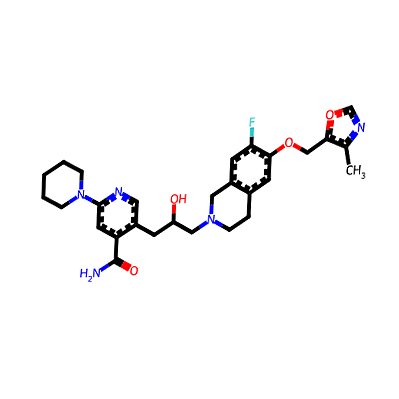 Cc1ncoc1COc1cc2c(cc1F)CN(CC(O)Cc1cnc(N3CCCCC3)cc1C(N)=O)CC2